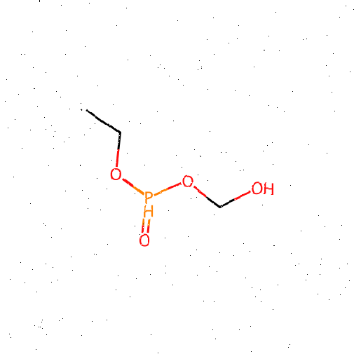 [CH2]CO[PH](=O)OCO